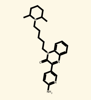 CC1CCCC(C)N1CCCCCn1c(=O)c(-c2ccc(N)nc2)nc2ccccc21